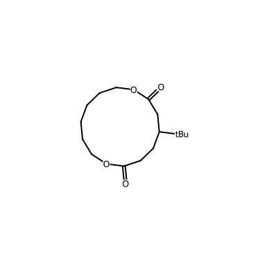 CC(C)(C)C1CCC(=O)OCCCCCCOC(=O)C1